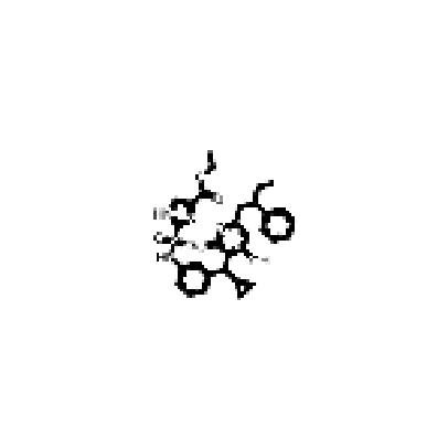 CCOC(=O)c1c[nH]c(S(=O)(=O)Nc2cccc(C(c3c(O)cc(CC(CC)c4ccccc4)oc3=O)C3CC3)c2)n1